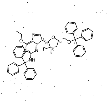 CCOc1nc(NC(c2ccccc2)(c2ccccc2)c2ccccc2)nc2c1ncn2[C@@H]1O[C@H](COC(c2ccccc2)(c2ccccc2)c2ccccc2)C[C@@]1(C)F